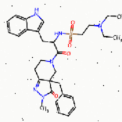 CCN(CC)CCS(=O)(=O)NC(Cc1c[nH]c2ccccc12)C(=O)N1CCC2=NN(C)C(=O)C2(Cc2ccccc2)C1